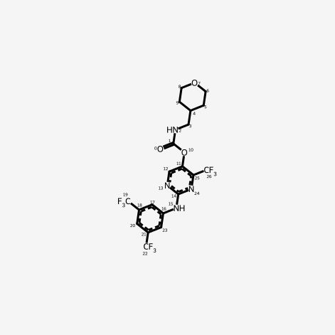 O=C(NCC1CCOCC1)Oc1cnc(Nc2cc(C(F)(F)F)cc(C(F)(F)F)c2)nc1C(F)(F)F